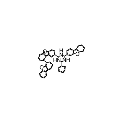 c1ccc(C2NC(c3ccc4c(c3)oc3ccccc34)NC(c3ccc4oc5cccc(-c6cccc7c6oc6ccccc67)c5c4c3)N2)cc1